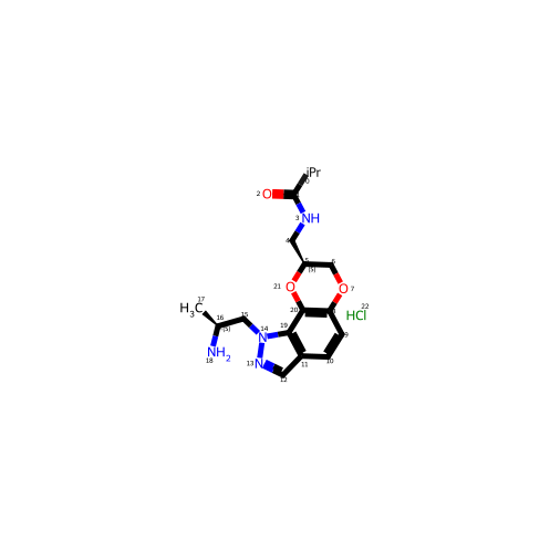 CC(C)C(=O)NC[C@H]1COc2ccc3cnn(C[C@H](C)N)c3c2O1.Cl